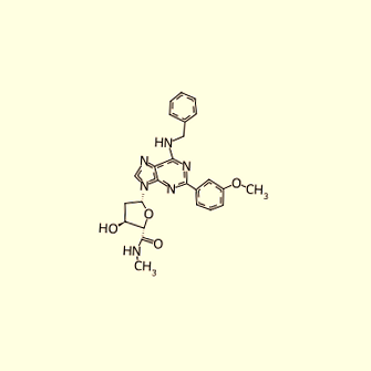 CNC(=O)[C@H]1O[C@@H](n2cnc3c(NCc4ccccc4)nc(-c4cccc(OC)c4)nc32)C[C@@H]1O